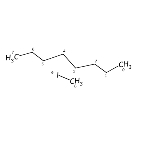 CCCCCCCC.CI